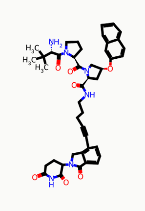 CC(C)(C)[C@H](N)C(=O)N1CCC[C@H]1C(=O)N1C[C@@H](Oc2ccc3ccccc3c2)C[C@H]1C(=O)NCCCC#Cc1cccc2c1CN(C1CCC(=O)NC1=O)C2=O